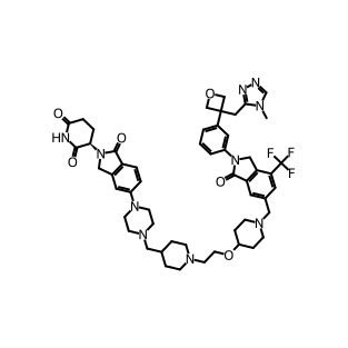 Cn1cnnc1CC1(c2cccc(N3Cc4c(cc(CN5CCC(OCCN6CCC(CN7CCN(c8ccc9c(c8)CN([C@@H]8CCC(=O)NC8=O)C9=O)CC7)CC6)CC5)cc4C(F)(F)F)C3=O)c2)COC1